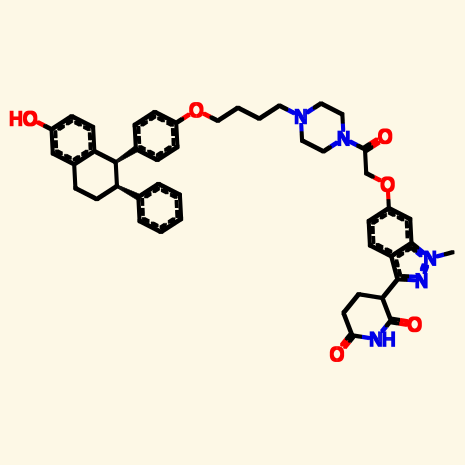 Cn1nc(C2CCC(=O)NC2=O)c2ccc(OCC(=O)N3CCN(CCCCOc4ccc([C@@H]5c6ccc(O)cc6CC[C@@H]5c5ccccc5)cc4)CC3)cc21